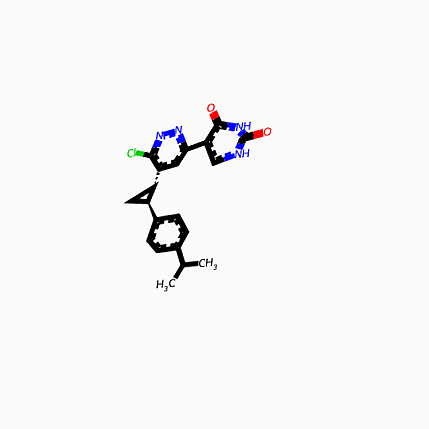 CC(C)c1ccc([C@H]2C[C@@H]2c2cc(-c3c[nH]c(=O)[nH]c3=O)nnc2Cl)cc1